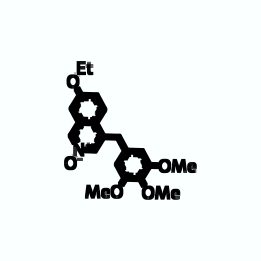 CCOc1ccc2c(Cc3cc(OC)c(OC)c(OC)c3)c[n+]([O-])cc2c1